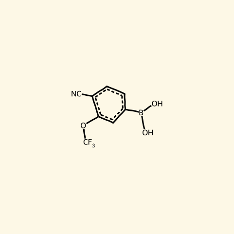 N#Cc1ccc(B(O)O)cc1OC(F)(F)F